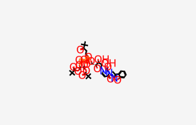 CC(C)(C)C(=O)CCOP(=O)(OC[C@H]1O[C@@H](n2ccc(=O)n(Cc3noc4ccccc34)c2=O)[C@@H](O)C1O)OP(=O)(OCOC(=O)C(C)(C)C)OCOC(=O)C(C)(C)C